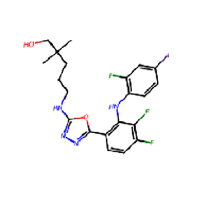 CC(C)(CO)CCCNc1nnc(-c2ccc(F)c(F)c2Nc2ccc(I)cc2F)o1